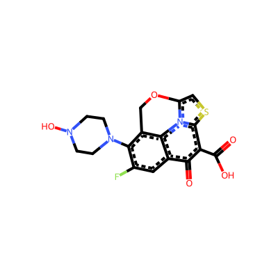 O=C(O)c1c(=O)c2cc(F)c(N3CCN(O)CC3)c3c2n2c(csc12)OC3